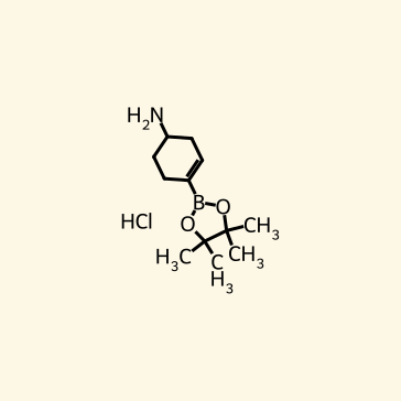 CC1(C)OB(C2=CCC(N)CC2)OC1(C)C.Cl